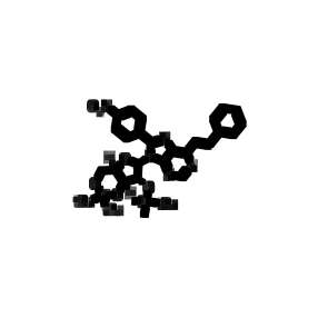 CC(C)(C)[Si](C)(C)O[C@@H]1[C@@H]2O[Si](C(C)(C)C)(C(C)(C)C)OC[C@H]2O[C@H]1n1c(-c2ccc([N+](=O)[O-])cc2)nc2c(C=Cc3ccccc3)ncnc21